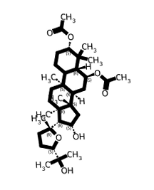 CC(=O)O[C@H]1C[C@@H]2[C@@](C)(CC[C@]3(C)[C@@H]([C@@]4(C)CC[C@@H](C(C)(C)O)O4)[C@@H](O)C[C@@]23C)C2CC[C@H](OC(C)=O)C(C)(C)[C@@H]21